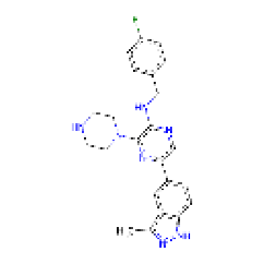 Cc1n[nH]c2ccc(-c3cnc(NCc4ccc(F)cc4)c(N4CCNCC4)n3)cc12